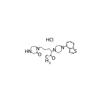 CC(=O)C(CCCN1CCNCC1=O)N1CCN(c2cccc3sccc23)CC1.Cl